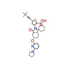 CC(=O)N(c1cc(C#CC(C)(C)C)sc1C(=O)O)C1(C2CCC(Oc3cccc(N4CCCC4)n3)CC2)CCCCC1